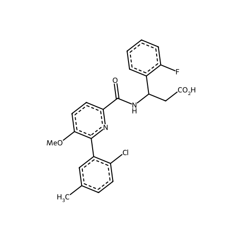 COc1ccc(C(=O)NC(CC(=O)O)c2ccccc2F)nc1-c1cc(C)ccc1Cl